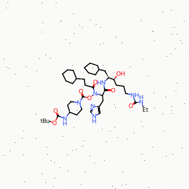 CCNC(=O)NCCC[C@H](O)[C@H](CC1CCCCC1)NC(=O)C(Cc1c[nH]cn1)N(OC(=O)N1CCC(NC(=O)OC(C)(C)C)CC1)C(=O)CCC1CCCCC1